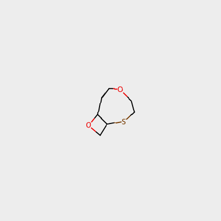 C1CSC2COC2CCO1